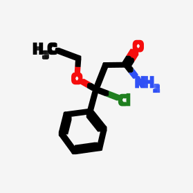 CCOC(Cl)(CC(N)=O)c1ccccc1